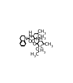 CCOCC(=O)[C@H](CC(C)C)NC(=O)[C@H](CC(C)C)NC(=O)N1CCCc2ccccc21